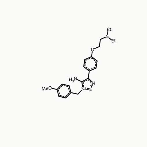 CCN(CC)CCOc1ccc(-c2nnn(Cc3ccc(OC)cc3)c2N)cc1